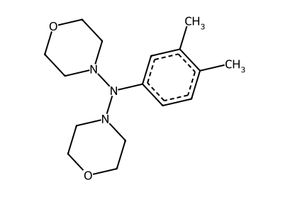 Cc1ccc(N(N2CCOCC2)N2CCOCC2)cc1C